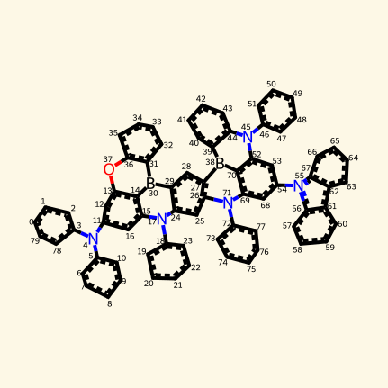 c1ccc(N(c2ccccc2)c2cc3c4c(c2)N(c2ccccc2)c2cc5c(cc2B4c2ccccc2O3)B2c3ccccc3N(c3ccccc3)c3cc(-n4c6ccccc6c6ccccc64)cc(c32)N5c2ccccc2)cc1